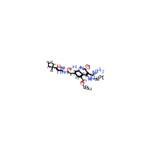 CC(C)n1nc(-c2ccc(CC(=O)Nc3cc(C4(C)CCCC4)on3)cc2COC(C)(C)C)c(C(N)=O)c1N